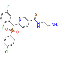 NCCNC(=S)c1ccc(C(c2cc(F)ccc2F)S(=O)(=O)c2ccc(Cl)cc2)nc1